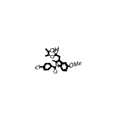 COc1ccc2c(c1)c(CC(=O)OC(C)C(C)O)c(C)n2C(=O)c1ccc(Cl)cc1